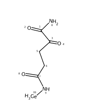 NC(=O)C(=O)CCC(=O)[NH][GeH3]